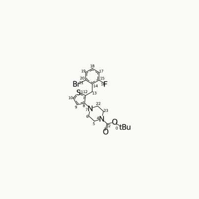 CC(C)(C)OC(=O)N1CCN(c2ccsc2Cc2c(F)cccc2Br)CC1